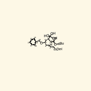 CCCCCCCCCCCCCC[C@H](C[C@H](NC(=O)OC(C)(C)C)C(O)(O)O)OCc1ccccc1